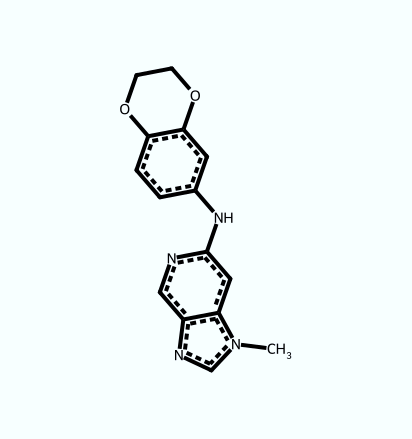 Cn1cnc2cnc(Nc3ccc4c(c3)OCCO4)cc21